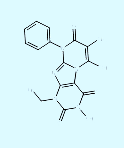 Cc1c(O)n2c3c(=O)n(C)c(=O)n(CC(C)C)c3nc2n(-c2ccccc2)c1=O